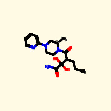 CCCC(C(=O)N1CCN(c2ccccn2)C[C@@H]1C)C(O)(O)C(N)=O